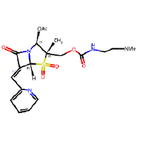 CNCCNC(=O)OC[C@@]1(C)[C@H](OC(C)=O)N2C(=O)/C(=C/c3ccccn3)[C@H]2S1(=O)=O